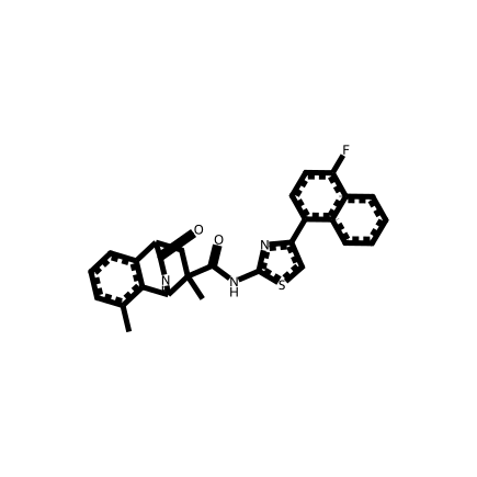 Cc1cccc2c1C1NC(=O)C2CC1(C)C(=O)Nc1nc(-c2ccc(F)c3ccccc23)cs1